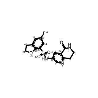 O=C1NCCc2ncc(NS(=O)(=O)c3cc(F)cc4c3OCC4)cc21